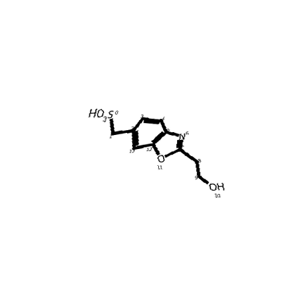 O=S(=O)(O)Cc1ccc2nc(CCO)oc2c1